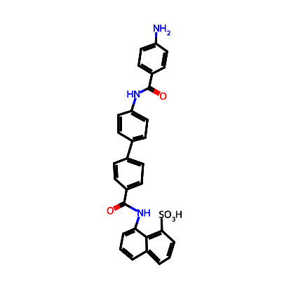 Nc1ccc(C(=O)Nc2ccc(-c3ccc(C(=O)Nc4cccc5cccc(S(=O)(=O)O)c45)cc3)cc2)cc1